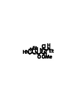 CCNc1nc(OC)c(C(=O)NCC2CNCN2CC)nc1Cl